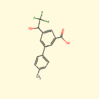 Cc1ccc(-c2cc(C(=O)O)cc(C(O)C(F)(F)F)c2)cc1